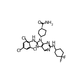 NC(=O)[C@H]1CC[C@H](n2c(Nc3c(Cl)cc(Cl)cc3Cl)nc3cnc(NC4CCC(F)(F)CC4)nc32)CC1